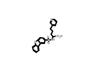 O=C(O)C(CCCc1cccnc1)NS(=O)(=O)c1ccc2oc3ccccc3c2c1